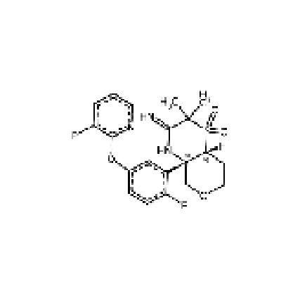 CC1(C)C(=N)N[C@@]2(c3cc(Oc4ncccc4F)ccc3F)COCC[C@H]2S1(=O)=O